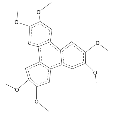 COc1cc2c3cc(OC)c(OC)cc3c3cc(OC)c(OC)cc3c2cc1OC